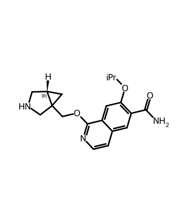 CC(C)Oc1cc2c(OCC34CNC[C@@H]3C4)nccc2cc1C(N)=O